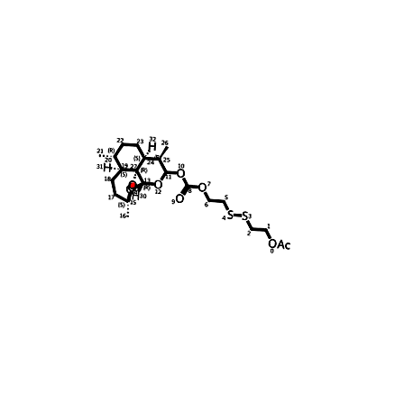 CC(=O)OCCSSCCOC(=O)OC1O[C@@H]2O[C@]3(C)CC[C@H]4[C@H](C)CC[C@@H]([C@H]1C)[C@@]24OO3